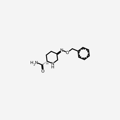 NC(=O)[C@@H]1CCC(=NOCc2ccccc2)CN1